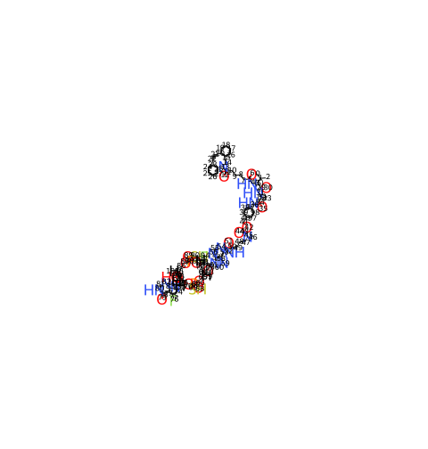 CC(C)[C@H](NC(=O)CCCCC(=O)N1Cc2ccccc2C#Cc2ccccc21)C(=O)N[C@@H](C)C(=O)Nc1ccc(COC(=O)N(C)CCCC(=O)Nc2ncnc3c2ncn3[C@@H]2O[C@@H]3CO[P@@](=O)(S)O[C@H]4C(n5cc(F)c6c(=O)[nH]cnc65)O[C@H](CO[P@@](=O)(S)O[C@H]3[C@H]2F)[C@H]4O)cc1